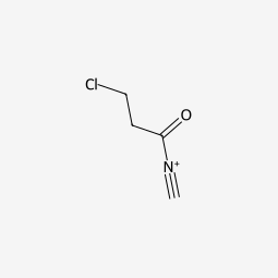 C#[N+]C(=O)CCCl